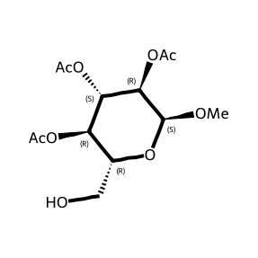 CO[C@H]1O[C@H](CO)[C@@H](OC(C)=O)[C@H](OC(C)=O)[C@H]1OC(C)=O